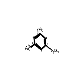 CC(=O)c1cccc([N+](=O)[O-])c1.[Fe]